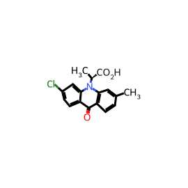 Cc1ccc2c(=O)c3ccc(Cl)cc3n([C@@H](C)C(=O)O)c2c1